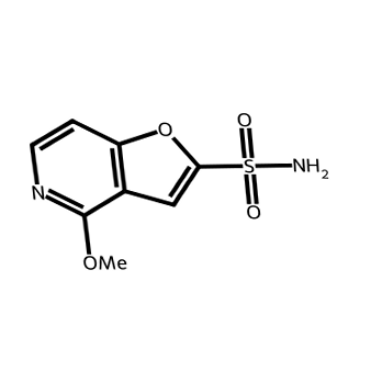 COc1nccc2oc(S(N)(=O)=O)cc12